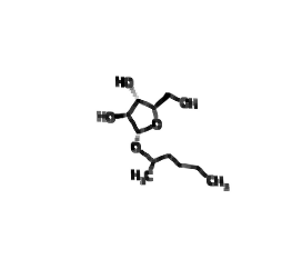 CCCCC(C)O[C@H]1O[C@H](CO)[C@@H](O)[C@@H]1O